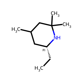 CC[C@@H]1CC(C)CC(C)(C)N1